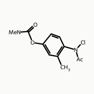 CNC(=O)Oc1ccc(N(Cl)C(C)=O)c(C)c1